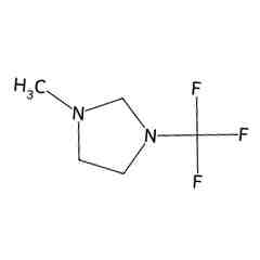 CN1CCN(C(F)(F)F)C1